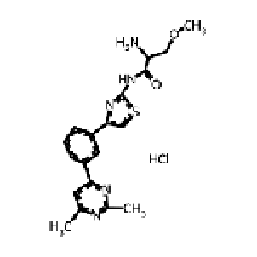 COCC(N)C(=O)Nc1nc(-c2cccc(-c3cc(C)nc(C)n3)c2)cs1.Cl